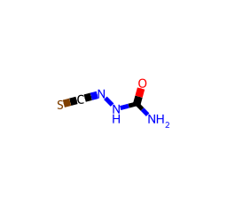 NC(=O)NN=C=S